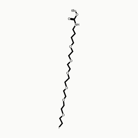 CC(C)(C)OC(=O)NCCCCOCCOCCOCCOCCOCCOCCI